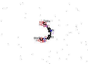 CCC1C(=CC=CC2=[N+](CC)c3ccc(CC(=O)NCC4OC(OC)C(O)C(O)C4O)cc3C2(C)C)C(C)(C)c2cc(CC(=O)NCC3OC(OC)C(O)C(O)C3O)ccc21.[I-]